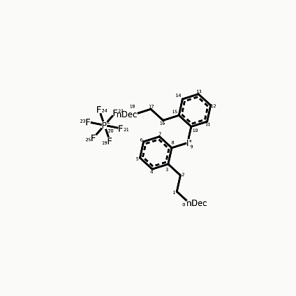 CCCCCCCCCCCCc1ccccc1[I+]c1ccccc1CCCCCCCCCCCC.F[P-](F)(F)(F)(F)F